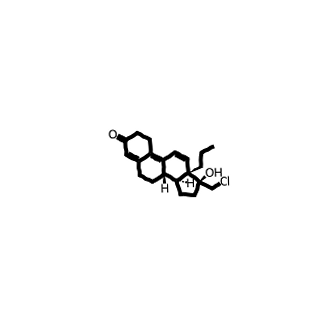 CCC[C@]12C=CC3=C4CCC(=O)C=C4CC[C@H]3[C@@H]1CC[C@@]2(O)CCl